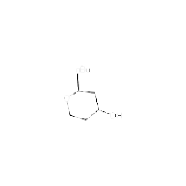 CCCCC1CC(O)CCO1